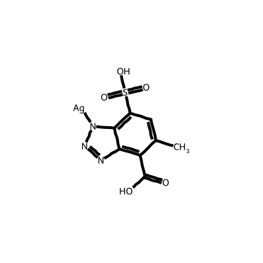 Cc1cc(S(=O)(=O)O)c2c(nn[n]2[Ag])c1C(=O)O